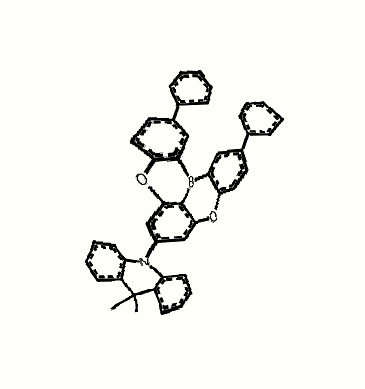 CC1(C)c2ccccc2N(c2cc3c4c(c2)Oc2ccc(-c5ccccc5)cc2B4c2cc(-c4ccccc4)ccc2O3)c2ccccc21